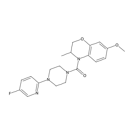 COc1ccc2c(c1)OCC(C)N2C(=O)N1CCN(c2ccc(F)cn2)CC1